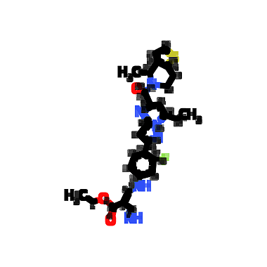 CCOC(=O)/C(C=N)=C/Nc1ccc(-c2cc3nc(C(=O)N4CCc5sccc5C4C)cc(CC)n3n2)c(F)c1